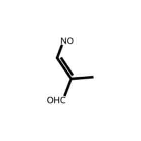 CC(C=O)=CN=O